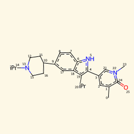 Cc1cc(-c2[nH]c3ccc(C4CCN(C(C)C)CC4)cc3c2C(C)C)cn(C)c1=O